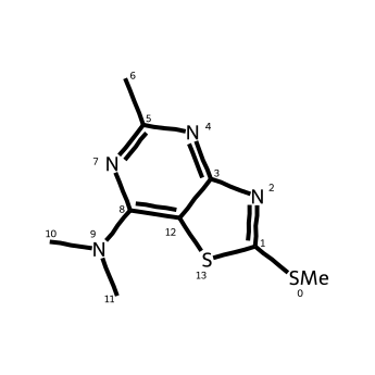 CSc1nc2nc(C)nc(N(C)C)c2s1